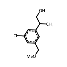 COCc1cc(Cl)cc(C(C)CO)c1